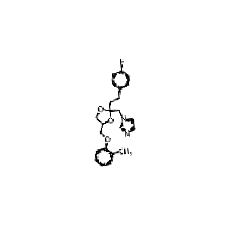 Cc1ccccc1OCC1COC(CCc2ccc(F)cc2)(Cn2ccnc2)O1